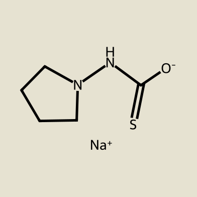 [Na+].[O-]C(=S)NN1CCCC1